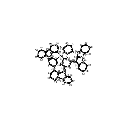 c1ccc([Si](c2ccccc2)(c2nc(-n3c4ccccc4c4ccccc43)cc(-n3c4ccccc4n4c5ccccc5nc34)n2)c2cccc3c2oc2ccccc23)cc1